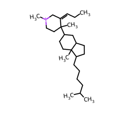 CC/C=C1/CI(C)CCC1(C)C1CCC2(C)C(CCCCC(C)C)CCC2C1